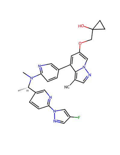 C[C@@H](c1ccc(-n2cc(F)cn2)nc1)N(C)c1ccc(-c2cc(OCC3(O)CC3)cn3ncc(C#N)c23)cn1